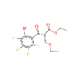 CCOC=C(C(=O)OCC)C(=O)c1c(F)c(F)c(F)c(F)c1Br